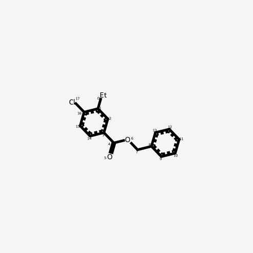 CCc1cc(C(=O)OCc2ccccc2)ccc1Cl